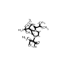 CC(C)C1=N[C@@H](C)C(C(C)(C)C)=C2CN(C(C(=O)O)C(C)C)CCN12